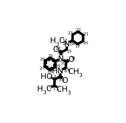 CC(C)C(O)C(=O)N[C@@H](C)C(=O)N(C(=O)CN(C)C1CCCCC1)c1ccccc1